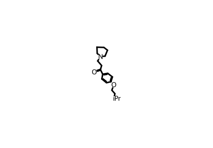 CC(C)CCOc1ccc(C(=O)CCN2CCCCC2)cc1